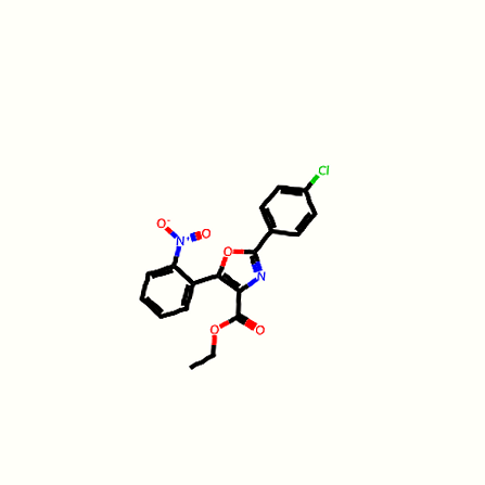 CCOC(=O)c1nc(-c2ccc(Cl)cc2)oc1-c1ccccc1[N+](=O)[O-]